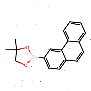 CC1(C)COB(c2ccc3ccc4ccccc4c3c2)O1